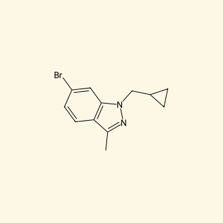 Cc1nn(CC2CC2)c2cc(Br)ccc12